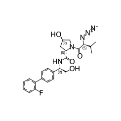 CC(C)[C@H](N=[N+]=[N-])C(=O)N1C[C@H](O)C[C@H]1C(=O)N[C@@H](CO)c1ccc(-c2ccccc2F)cc1